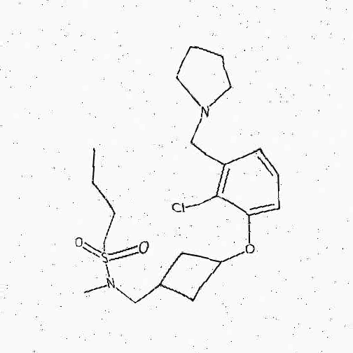 CCCS(=O)(=O)N(C)CC1CC(Oc2cccc(CN3CCCC3)c2Cl)C1